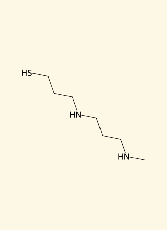 CNCCCNCCCS